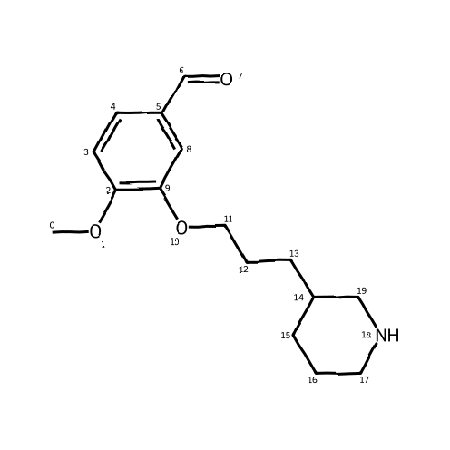 COc1ccc(C=O)cc1OCCCC1CCCNC1